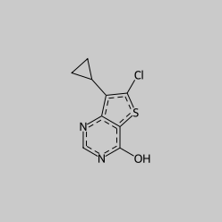 Oc1ncnc2c(C3CC3)c(Cl)sc12